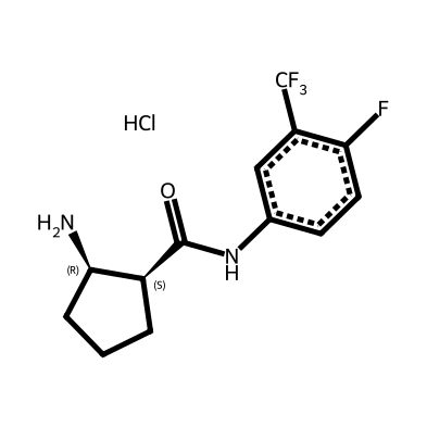 Cl.N[C@@H]1CCC[C@@H]1C(=O)Nc1ccc(F)c(C(F)(F)F)c1